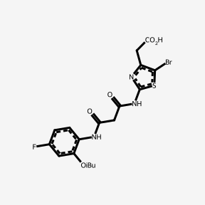 CC(C)COc1cc(F)ccc1NC(=O)CC(=O)Nc1nc(CC(=O)O)c(Br)s1